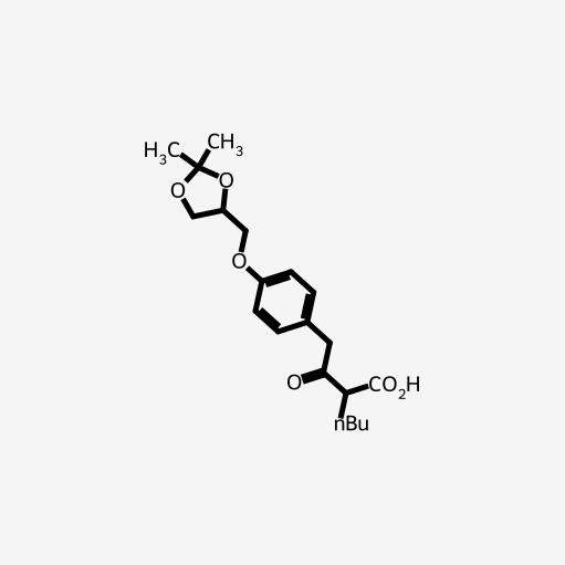 CCCCC(C(=O)O)C(=O)Cc1ccc(OCC2COC(C)(C)O2)cc1